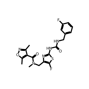 Cc1noc(C)c1C(=O)N(C)Cc1nc(NC(=O)NCc2cccc(F)c2)sc1F